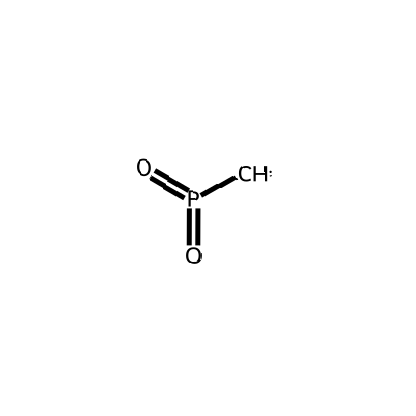 [CH]P(=O)=O